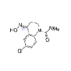 CNC(=O)N1CC/C(=N/O)c2cc(Cl)ccc21